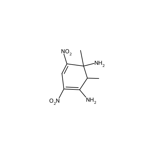 CC1C(N)=C([N+](=O)[O-])C=C([N+](=O)[O-])C1(C)N